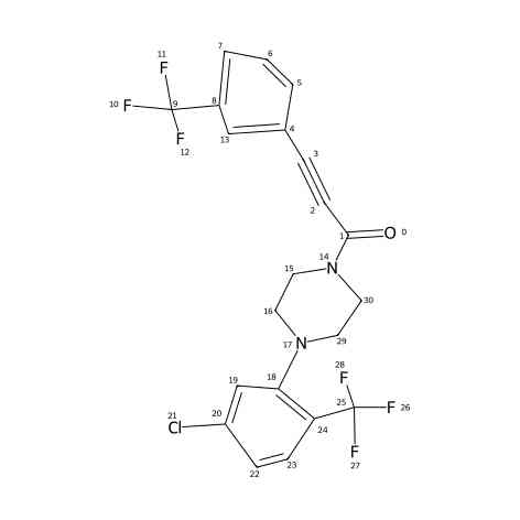 O=C(C#Cc1cccc(C(F)(F)F)c1)N1CCN(c2cc(Cl)ccc2C(F)(F)F)CC1